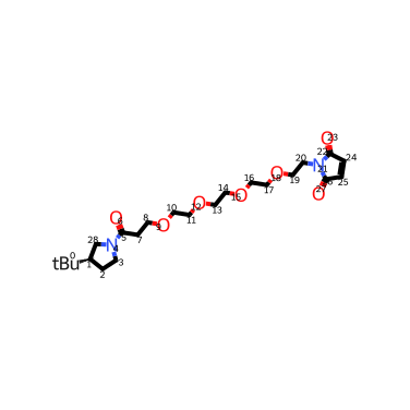 CC(C)(C)[C@@H]1CCN(C(=O)CCOCCOCCOCCOCCN2C(=O)C=CC2=O)C1